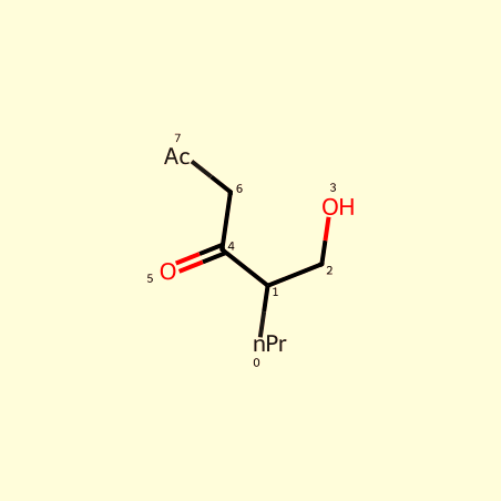 CCCC(CO)C(=O)CC(C)=O